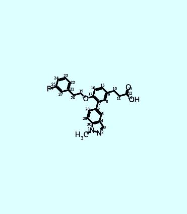 Cn1ncc2cc(-c3cc(CCC(=O)O)ccc3OCCc3cccc(F)c3)ccc21